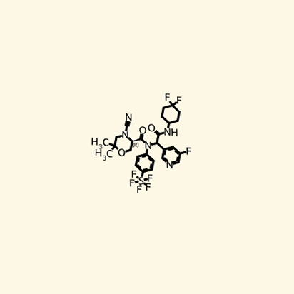 CC1(C)CN(C#N)[C@@H](C(=O)N(c2ccc(S(F)(F)(F)(F)F)cc2)C(C(=O)NC2CCC(F)(F)CC2)c2cncc(F)c2)CO1